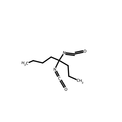 CCCCC(CCC)(N=C=O)N=C=O